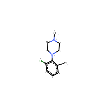 CN1CCN(c2c(Cl)cccc2C(F)(F)F)CC1